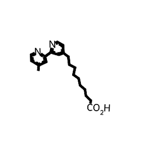 Cc1ccnc(-c2cc(CCCCCCCCCC(=O)O)ccn2)c1